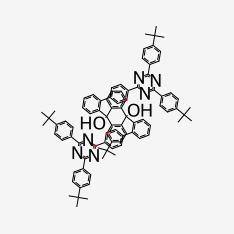 CC(C)(C)c1ccc(-c2nc(-c3ccc(-c4ccccc4C4(O)c5ccccc5C(O)(c5ccccc5-c5ccc(-c6nc(-c7ccc(C(C)(C)C)cc7)nc(-c7ccc(C(C)(C)C)cc7)n6)cc5)c5cc(C(C)(C)C)ccc54)cc3)nc(-c3ccc(C(C)(C)C)cc3)n2)cc1